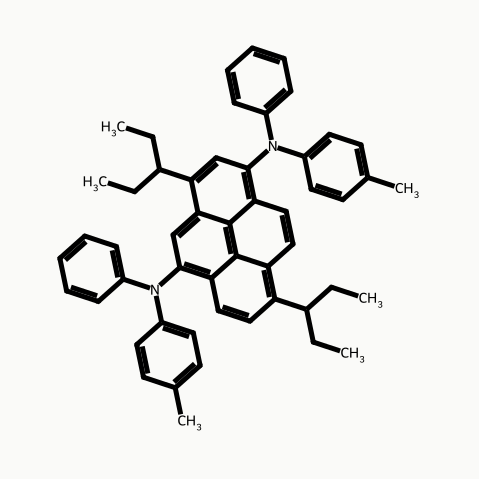 CCC(CC)c1ccc2c(N(c3ccccc3)c3ccc(C)cc3)cc3c(C(CC)CC)cc(N(c4ccccc4)c4ccc(C)cc4)c4ccc1c2c34